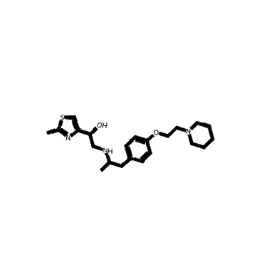 Cc1nc(C(O)CNC(C)Cc2ccc(OCCN3CCCCC3)cc2)cs1